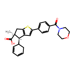 C[C@]1(C(=O)O)Cc2sc(-c3ccc(C(=O)N4CCOCC4)cc3)cc2[C@H]1C1C=CC=CC1